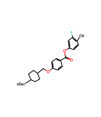 CCCCCCCCCCC1CCC(COc2ccc(C(=O)Oc3ccc(C#N)c(F)c3)cc2)CC1